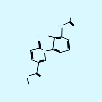 COC(=O)c1ccc(=O)n(-c2cccc(NC(C)=O)c2F)c1